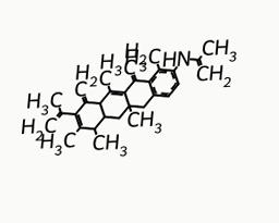 C=C(C)Nc1ccc2c(c1C)C(=C)C1=C(C)C3C(=C)C(C(=C)C)=C(C)C(C)C3CC1(C)C2